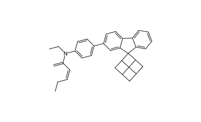 C=C(/C=C\CC)N(CC)c1ccc(-c2ccc3c(c2)C2(c4ccccc4-3)C3CC4CC5CC2C453)cc1